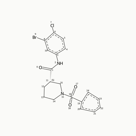 O=C(Nc1ccc(Cl)c(Br)c1)[C@H]1CCCN(S(=O)(=O)c2ccccc2)C1